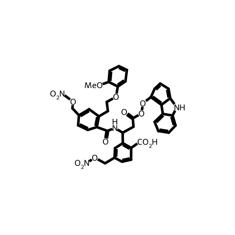 COc1ccccc1OCCc1cc(CO[N+](=O)[O-])ccc1C(=O)NC(CC(=O)OOc1cccc2[nH]c3ccccc3c12)c1cc(CO[N+](=O)[O-])ccc1C(=O)O